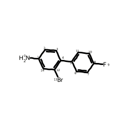 Nc1ccc(-c2ccc(F)cc2)c(Br)c1